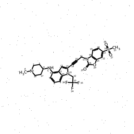 CN1CCC(Nc2cccc3c2cc(C#CCn2c(=O)oc4cc(S(C)(=O)=O)ccc42)n3CC(F)(F)F)CC1